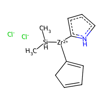 C[SiH](C)[Zr+2]([C]1=CC=CC1)[c]1ccc[nH]1.[Cl-].[Cl-]